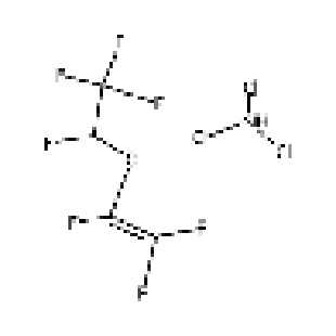 Cl[SiH](Cl)Cl.FC(F)=C(F)OC(F)C(F)(F)F